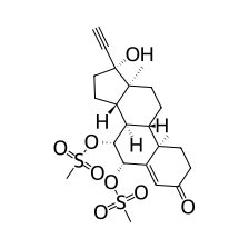 C#C[C@]1(O)CC[C@H]2[C@@H]3[C@@H](OS(C)(=O)=O)[C@@H](OS(C)(=O)=O)C4=CC(=O)CC[C@]4(C)[C@H]3CC[C@@]21C